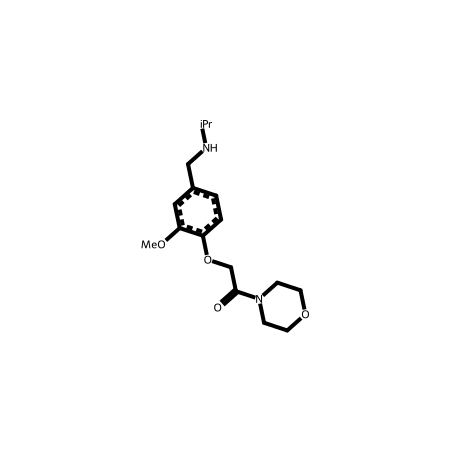 COc1cc(CNC(C)C)ccc1OCC(=O)N1CCOCC1